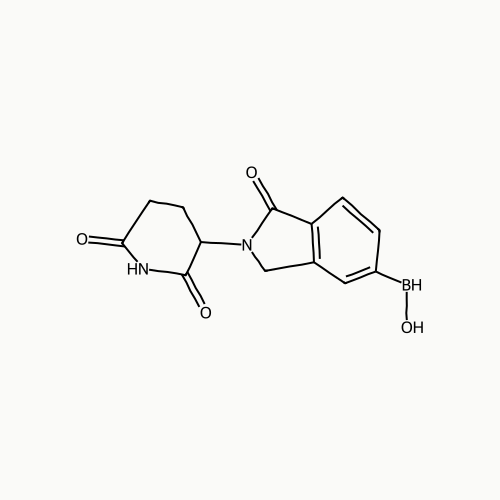 O=C1CCC(N2Cc3cc(BO)ccc3C2=O)C(=O)N1